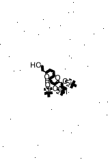 CC(C)(C)[Si](C)(C)OC(/C=C/I)[C@@H]1OC2CC[C@H](CCO)O[C@@H]2C(O[Si](C)(C)C(C)(C)C)[C@@H]1O[Si](C)(C)C(C)(C)C